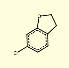 Clc1ccc2c(c1)OCC2